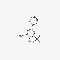 Nc1cc(-c2ccccc2)cc(C(F)(F)F)c1N